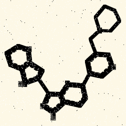 c1cnc2cc(-c3n[nH]c4ccc(-c5cncc(CN6CCCCC6)c5)nc34)[nH]c2c1